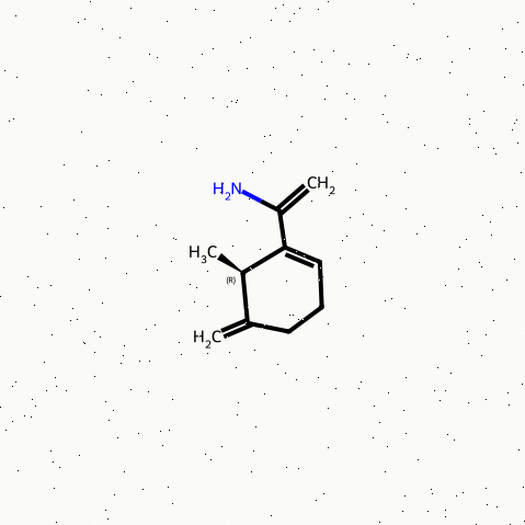 C=C(N)C1=CCCC(=C)[C@H]1C